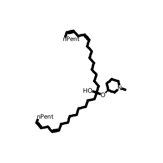 CCCCC/C=C\C/C=C\CCCCCCCCC(O)(CCCCCCCC/C=C\C/C=C\CCCCC)O[C@H]1CCCN(C)C1